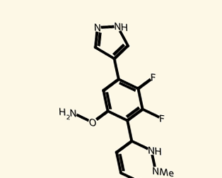 CC/C=C\C(NNC)c1c(ON)cc(-c2cn[nH]c2)c(F)c1F